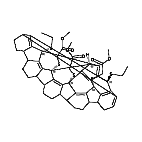 CCS[C@@]12C3=C4C5CC=C3C3CCC6C(=C31)[C@]1(SCC)C3=C7C(CCC36)C3CCC6C8=C3[C@]7(SCC(=O)OC)[C@@H]3C7=C(C2=C31)[C@]4(SCC(=O)OC)C1=C(C6CCC15)[C@@]87SCC(=O)OC